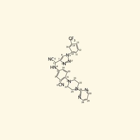 N#Cc1cc(NC(C#N)c2cn(-c3cccc(C(F)(F)F)c3)nn2)ccc1N1CCN(c2ncccn2)CC1